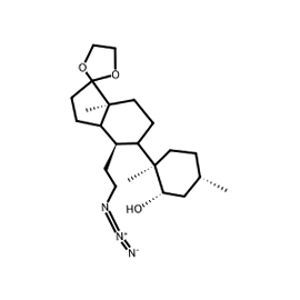 C[C@H]1CC[C@](C)(C2CC[C@@]3(C)C(CCC34OCCO4)[C@@H]2CCN=[N+]=[N-])[C@@H](O)C1